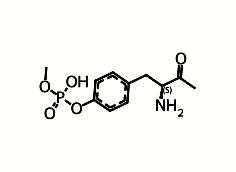 COP(=O)(O)Oc1ccc(C[C@H](N)C(C)=O)cc1